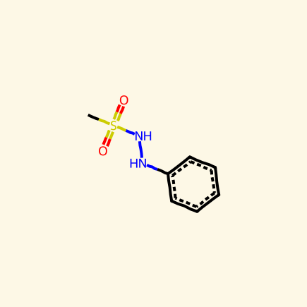 CS(=O)(=O)NNc1ccccc1